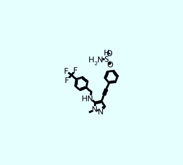 Cn1ncc(C#Cc2ccccc2)c1NCc1ccc(C(F)(F)F)cc1.N[SH](=O)=O